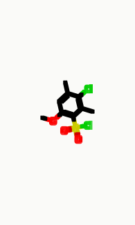 COc1cc(C)c(Cl)c(C)c1S(=O)(=O)Cl